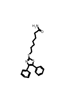 NC(=O)CCCCCCSc1nc(-c2ccccc2)c(-c2ccccc2)s1